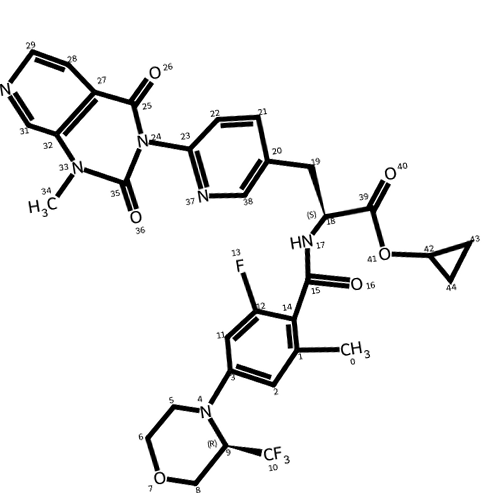 Cc1cc(N2CCOC[C@@H]2C(F)(F)F)cc(F)c1C(=O)N[C@@H](Cc1ccc(-n2c(=O)c3ccncc3n(C)c2=O)nc1)C(=O)OC1CC1